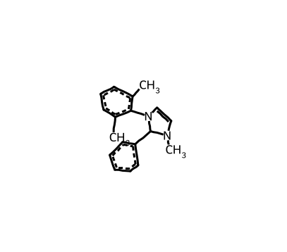 Cc1cccc(C)c1N1C=CN(C)C1c1ccccc1